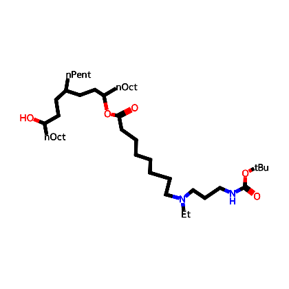 CCCCCCCCC(O)CCC(CCCCC)CCC(CCCCCCCC)OC(=O)CCCCCCCN(CC)CCCNC(=O)OC(C)(C)C